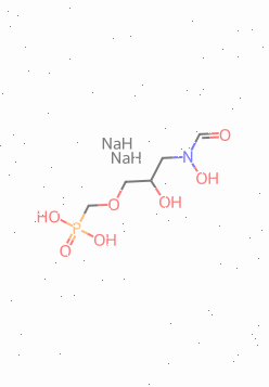 O=CN(O)CC(O)COCP(=O)(O)O.[NaH].[NaH]